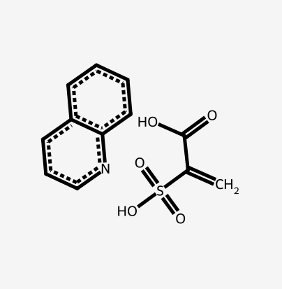 C=C(C(=O)O)S(=O)(=O)O.c1ccc2ncccc2c1